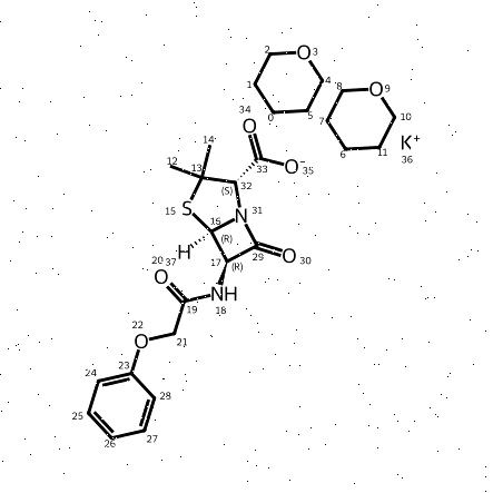 C1CCOCC1.C1CCOCC1.CC1(C)S[C@@H]2[C@H](NC(=O)COc3ccccc3)C(=O)N2[C@H]1C(=O)[O-].[K+]